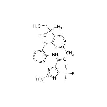 CCC(C)(C)c1ccc(C)cc1Oc1ccccc1NC(=O)c1cn(C)nc1C(F)(F)F